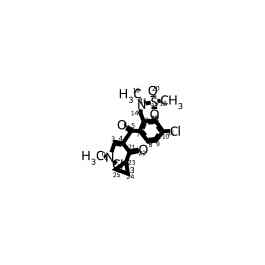 CN(C)C=C(C(=O)c1ccc(Cl)cc1CN(C)S(C)(=O)=O)C(=O)C1CC1